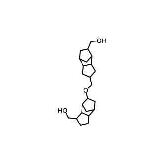 OCC1CC2CC1C1CC(COC3CC4CC3C3C(CO)CCC43)CC21